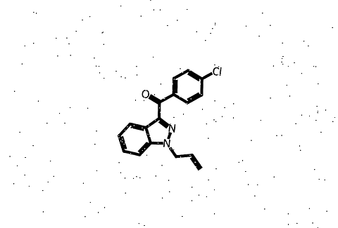 C=CCn1nc(C(=O)c2ccc(Cl)cc2)c2ccccc21